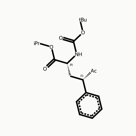 CC(=O)[C@@H](C[C@@H](NC(=O)OC(C)(C)C)C(=O)OC(C)C)c1ccccc1